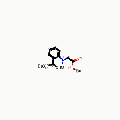 CCOC(=O)C(C=O)c1ccccc1NCC(=O)OC(C)(C)C